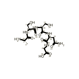 C[C@H](N)C(=O)N[C@@H](CO)C(=O)N[C@@H](CO)C(=O)N[C@@H](CC(N)=O)C(=O)NCC(=O)O